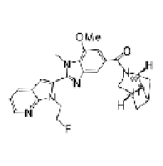 COc1cc(C(=O)N2C[C@H]3CC4C[C@@H]2[C@H]43)cc2nc(-c3cc4cccnc4n3CCF)n(C)c12